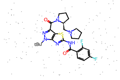 CC(C)(C)n1nc(C(=O)N2CCC[C@H]2CN2CCCC2)c2sc(NC(=O)c3ccc(F)cc3F)nc21